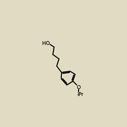 CC(C)Oc1ccc(CCCCO)cc1